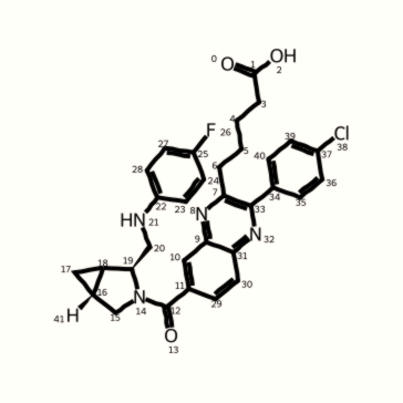 O=C(O)CCCCc1nc2cc(C(=O)N3C[C@@H]4CC4[C@H]3CNc3ccc(F)cc3)ccc2nc1-c1ccc(Cl)cc1